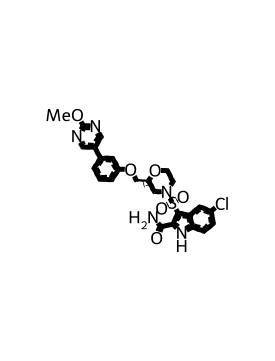 COc1ncc(-c2cccc(OC[C@@H]3CN(S(=O)(=O)c4c(C(N)=O)[nH]c5ccc(Cl)cc45)CCO3)c2)cn1